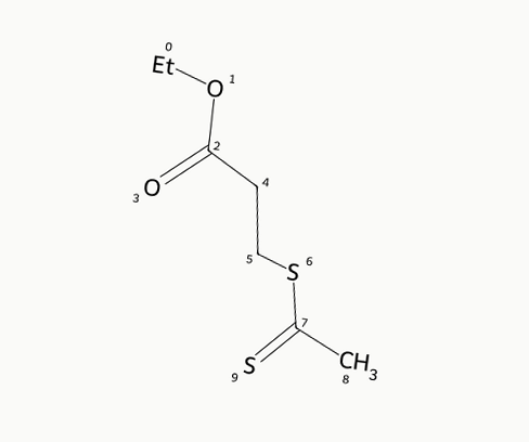 CCOC(=O)CCSC(C)=S